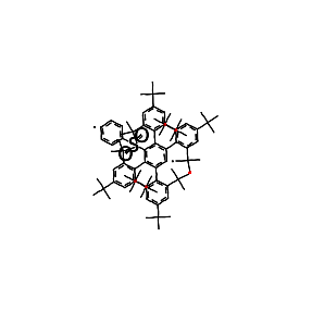 CC(C)(C)c1cc(C(C)(C)C)c(-c2[c]c(-c3c(C(C)(C)C)cc(C(C)(C)C)cc3C(C)(C)C)c(-c3c(C(C)(C)C)cc(C(C)(C)C)cc3C(C)(C)C)c(S(=O)(=O)c3cc[c]cc3)c2-c2c(C(C)(C)C)cc(C(C)(C)C)cc2C(C)(C)C)c(C(C)(C)C)c1